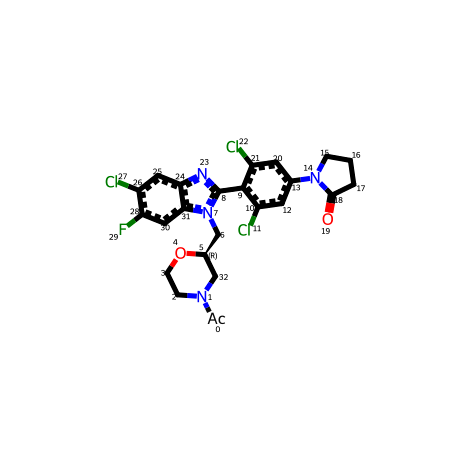 CC(=O)N1CCO[C@@H](Cn2c(-c3c(Cl)cc(N4CCCC4=O)cc3Cl)nc3cc(Cl)c(F)cc32)C1